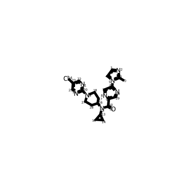 Cc1nccn1-c1cnc(C(=O)N(C2CC2)C2CCN(c3ncc(Cl)cn3)CC2)cn1